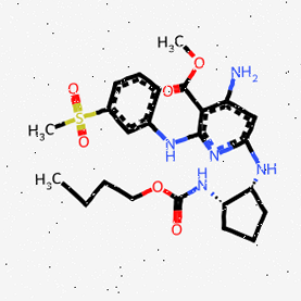 CCCCOC(=O)N[C@H]1CCC[C@H]1Nc1cc(N)c(C(=O)OC)c(Nc2cccc(S(C)(=O)=O)c2)n1